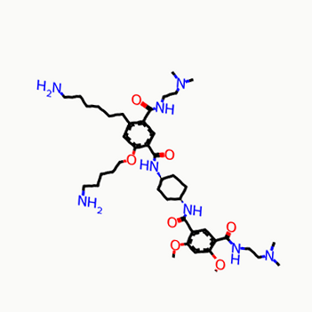 COc1cc(OC)c(C(=O)N[C@H]2CC[C@H](NC(=O)c3cc(C(=O)NCCN(C)C)c(CCCCCCN)cc3OCCCCCN)CC2)cc1C(=O)NCCN(C)C